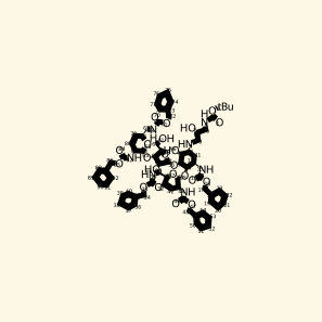 CC(C)(C)OC(=O)NCC(O)CN[C@@H]1C[C@H](NC(=O)OCc2ccccc2)[C@@H](O[C@H]2O[C@H](CNC(=O)OCc3ccccc3)C=C[C@H]2NC(=O)OCc2ccccc2)[C@H](O[C@@H]2O[C@H](CO)[C@@H](O[C@H]3O[C@@H](CNC(=O)OCc4ccccc4)C=C[C@H]3NC(=O)OCc3ccccc3)[C@H]2O)[C@H]1O